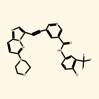 O=C(Nc1ccc(Cl)c(C(F)(F)F)c1)c1cncc(C#Cc2cnc3ccc(N4CCOCC4)nn23)c1